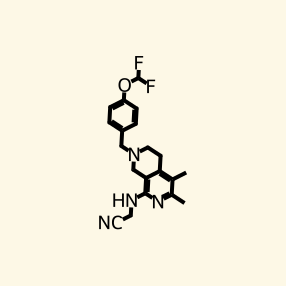 Cc1nc(NCC#N)c2c(c1C)CCN(Cc1ccc(OC(F)F)cc1)C2